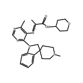 C/C(=N\c1c(C)ncnc1N1CC2(CCN(C)CC2)c2ccccc21)C(=O)NC1CCOCC1